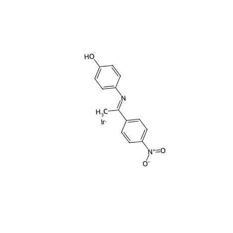 C/C(=N\c1ccc(O)cc1)c1ccc([N+](=O)[O-])cc1.[Ir]